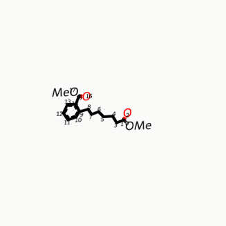 COC(=O)CCCCCCc1ccccc1C(=O)OC